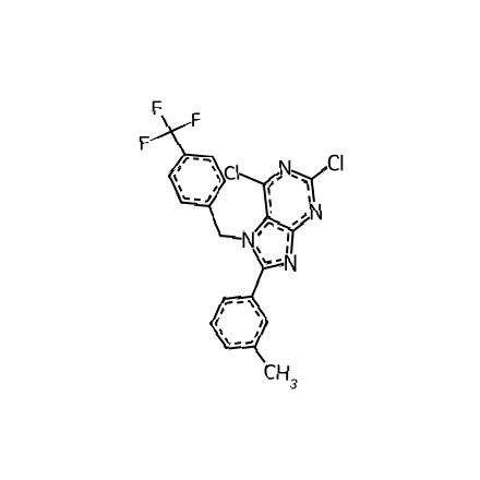 Cc1cccc(-c2nc3nc(Cl)nc(Cl)c3n2Cc2ccc(C(F)(F)F)cc2)c1